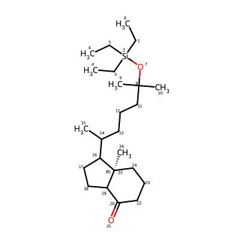 CC[Si](CC)(CC)OC(C)(C)CCCC(C)C1CCC2C(=O)CCC[C@@]21C